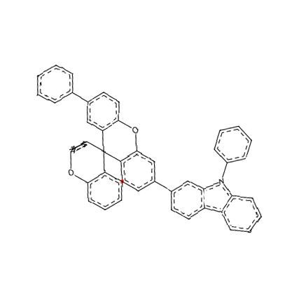 c1ccc(-c2ccc3c(c2)C2(c4ccccc4Oc4ccccc42)c2ccc(-c4ccc5c6ccccc6n(-c6ccccc6)c5c4)cc2O3)cc1